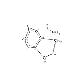 CN.c1ccc2c(c1)OCO2